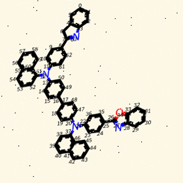 c1ccc2c(c1)CC(c1ccc(N(c3ccc(-c4ccc(N(c5ccc(-c6nc7ccccc7o6)cc5)c5cccc6ccccc56)cc4)cc3)c3cccc4ccccc34)cc1)=N2